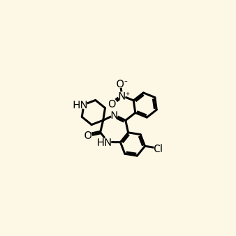 O=C1Nc2ccc(Cl)cc2C(c2ccccc2[N+](=O)[O-])=NC12CCNCC2